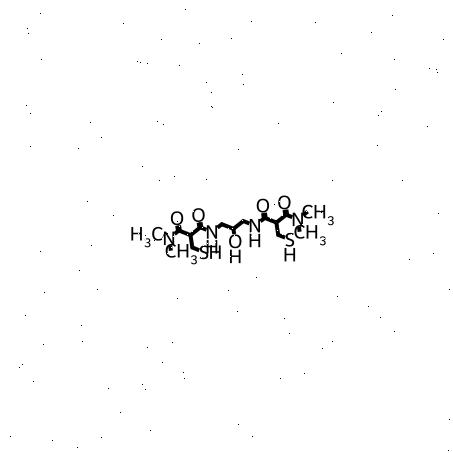 CN(C)C(=O)C(CS)C(=O)NCC(O)CNC(=O)C(CS)C(=O)N(C)C